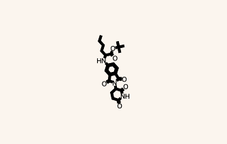 CCCCC(Nc1ccc2c(c1)C(=O)N(C1CCC(=O)NC1=O)C2=O)C(=O)OC(C)(C)C